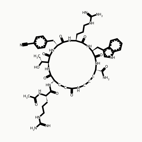 CC(=O)N[C@@H](CCCNC(=N)N)C(=O)N[C@H]1CCC(=O)NCCC[C@@H](C(N)=O)NC(=O)[C@H](Cc2c[nH]c3ccccc23)NC(=O)[C@H](CCCNC(=N)N)NC(=O)[C@@H](Cc2ccc(C#N)cc2)NC(=O)[C@H]([C@@H](C)O)NC1=O